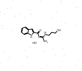 Cl.NC(=NC(=O)c1cc2ccccc2[nH]1)NCCCO